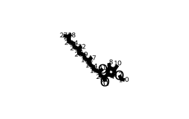 CCOc1cc2c(c(C)c1C)OC(CC/C=C(\C)CC/C=C(\C)CCC=C(C)C)CC2=O